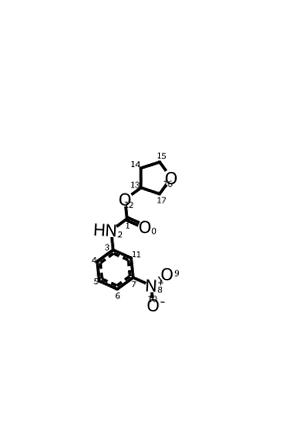 O=C(Nc1cccc([N+](=O)[O-])c1)OC1CCOC1